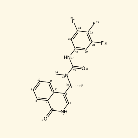 C[C@H](c1c[nH]c(=O)c2ccccc12)N(C)C(=O)Nc1cc(F)c(F)c(F)c1